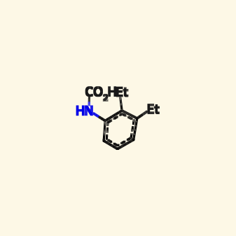 CCc1cccc(NC(=O)O)c1CC